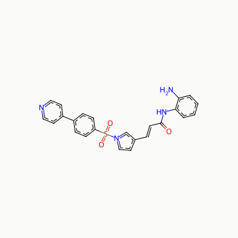 Nc1ccccc1NC(=O)C=Cc1ccn(S(=O)(=O)c2ccc(-c3ccncc3)cc2)c1